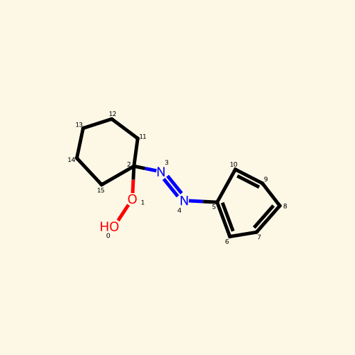 OOC1(/N=N/c2ccccc2)CCCCC1